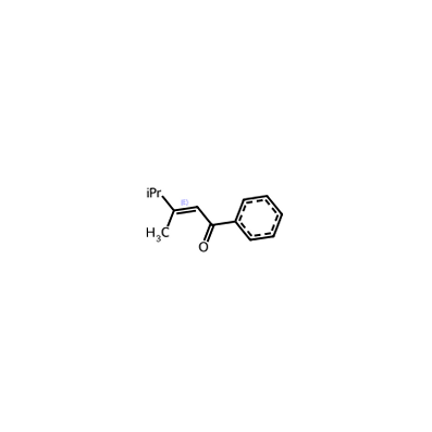 C/C(=C\C(=O)c1ccccc1)C(C)C